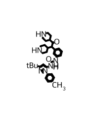 Cc1ccc(-n2nc(C(C)(C)C)cc2NC(=O)Nc2cccc(C(C(=O)C3CCNCC3)C3CCNCC3)c2)cc1